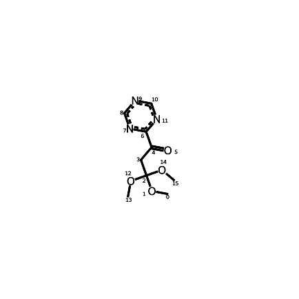 COC(CC(=O)c1ncncn1)(OC)OC